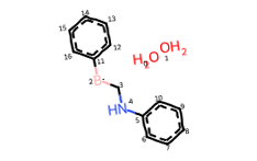 O.O.[B](CNc1ccccc1)c1ccccc1